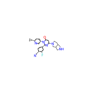 N#Cc1ccc(-c2nc(N3CCC4CNCC4C3)cc(=O)n2-c2ccc(C3CC3)nc2)cc1F